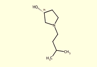 CC(C)CCN1CC[C@@H](O)C1